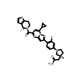 C[C@@H]1c2ccsc2CCN1C(=O)c1cc(C2CC2)n2nc(-c3ccc(N4CC[C@](C)(CC(N)=O)C4)cc3F)cc2n1